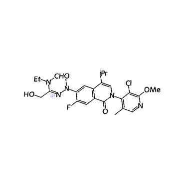 CCN(C=O)/C(CO)=N\N(C)c1cc2c(C(C)C)cn(-c3c(C)cnc(OC)c3Cl)c(=O)c2cc1F